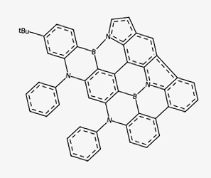 CC(C)(C)c1ccc2c(c1)N(c1ccccc1)c1cc3c4c5c1B2n1ccc2cc6c7cccc8c7n(c6c-5c21)B4c1c-8cccc1N3c1ccccc1